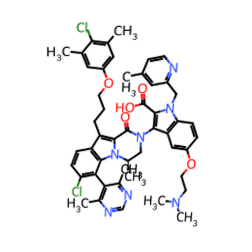 Cc1ccnc(Cn2c(C(=O)O)c(N3C[C@@H](C)n4c(c(CCCOc5cc(C)c(Cl)c(C)c5)c5ccc(Cl)c(-c6c(C)ncnc6C)c54)C3=O)c3cc(OCCN(C)C)ccc32)c1